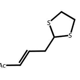 CC(=O)/C=C/CC1SCCS1